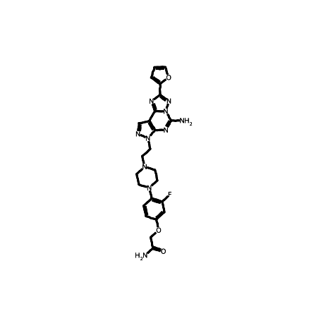 NC(=O)COc1ccc(N2CCN(CCn3ncc4c3nc(N)n3nc(-c5ccco5)nc43)CC2)c(F)c1